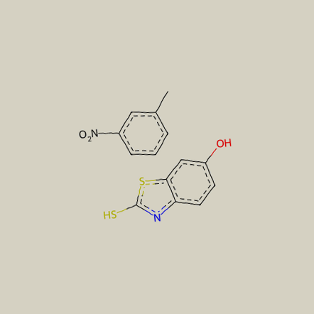 Cc1cccc([N+](=O)[O-])c1.Oc1ccc2nc(S)sc2c1